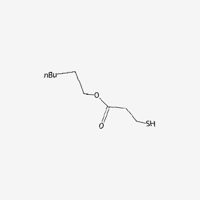 CCCCCCOC(=O)CCS